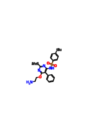 CSc1nc(NS(=O)(=O)c2ccc(C(C)(C)C)cc2)c(-c2ccccc2)c(OCCN)n1